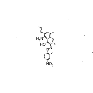 C/N=N/c1cc(C)c2cc(C)c(/N=N/c3ccc([N+](=O)[O-])cc3C)c(O)c2c1N